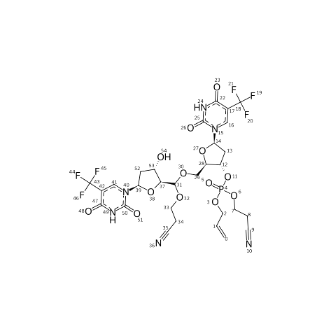 C=CCOP(=O)(OCCC#N)O[C@H]1C[C@H](n2cc(C(F)(F)F)c(=O)[nH]c2=O)O[C@@H]1COC(OCCC#N)[C@H]1O[C@@H](n2cc(C(F)(F)F)c(=O)[nH]c2=O)C[C@@H]1O